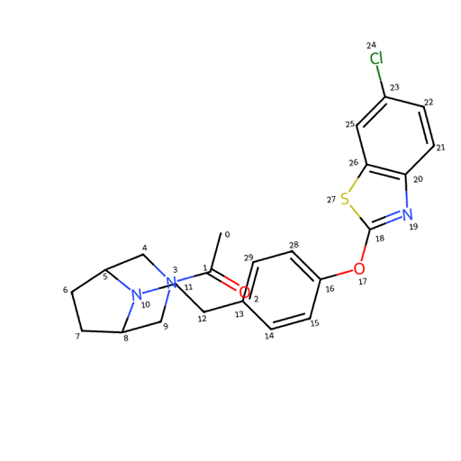 CC(=O)N1CC2CCC(C1)N2CCc1ccc(Oc2nc3ccc(Cl)cc3s2)cc1